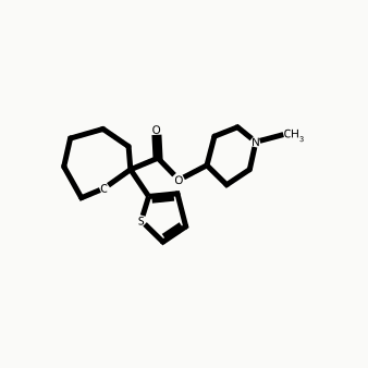 CN1CCC(OC(=O)C2(c3cccs3)CCCCCC2)CC1